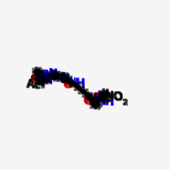 CC(=O)c1c(C)c2cnc(Nc3ccc(N4CCN(CC(=O)NCCCCCCCCC(=O)Nc5ccccc5C(=O)Nc5nc(C)c([N+](=O)[O-])s5)CC4)cn3)nc2n(C2CCCC2)c1=O